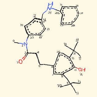 CN(C(=O)CCc1cc(C(C)(C)C)c(O)c(C(C)(C)C)c1)c1ccc(Nc2ccccc2)cc1